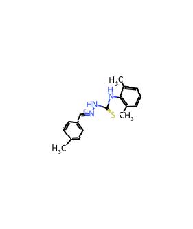 Cc1ccc(/C=N/NC(=S)Nc2c(C)cccc2C)cc1